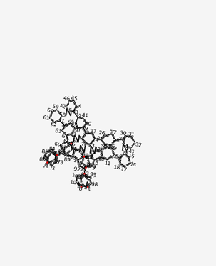 c1ccc(-c2ccc3c(c2)c2cc(-c4ccccc4)ccc2n3-c2c(-c3ccc(-c4ccccn4)cc3)cc(-c3ccc(-c4ccccn4)cc3)c(-n3c4ccc(-c5ccccc5)cc4c4cc(-c5ccccc5)ccc43)c2-n2c3ccc(-c4ccccc4)cc3c3cc(-c4ccccc4)ccc32)cc1